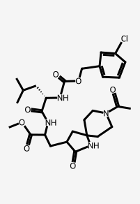 COC(=O)C(CC1CC2(CCN(C(C)=O)CC2)NC1=O)NC(=O)[C@H](CC(C)C)NC(=O)OCc1cccc(Cl)c1